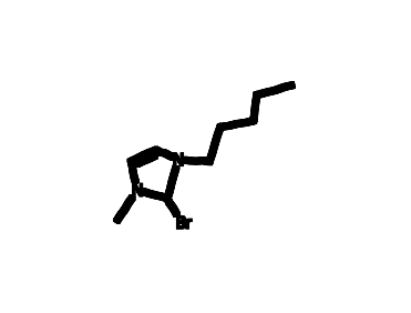 CCCCCN1C=CN(C)C1Br